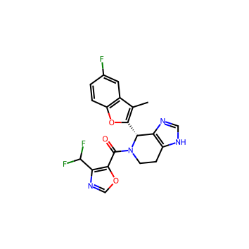 Cc1c([C@@H]2c3nc[nH]c3CCN2C(=O)c2ocnc2C(F)F)oc2ccc(F)cc12